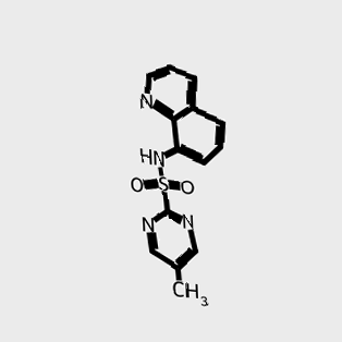 Cc1cnc(S(=O)(=O)Nc2cccc3cccnc23)nc1